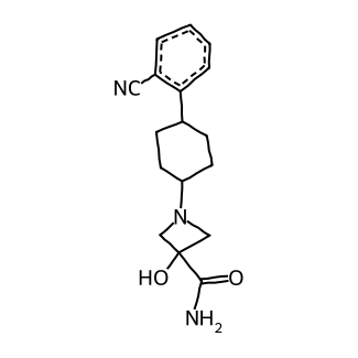 N#Cc1ccccc1C1CCC(N2CC(O)(C(N)=O)C2)CC1